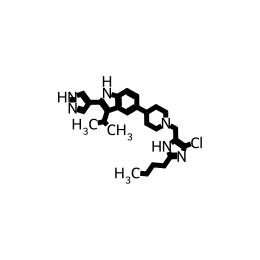 CCCCc1nc(Cl)c(CN2CCC(c3ccc4[nH]c(-c5cn[nH]c5)c(C(C)C)c4c3)CC2)[nH]1